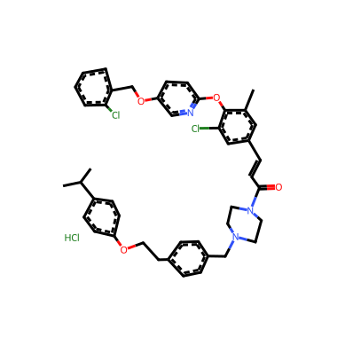 Cc1cc(/C=C/C(=O)N2CCN(Cc3ccc(CCOc4ccc(C(C)C)cc4)cc3)CC2)cc(Cl)c1Oc1ccc(OCc2ccccc2Cl)cn1.Cl